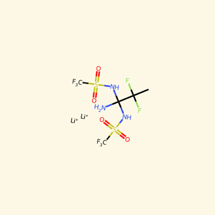 CC(F)(F)C(N)(NS(=O)(=O)C(F)(F)F)NS(=O)(=O)C(F)(F)F.[Li+].[Li+]